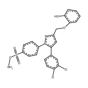 NOS(=O)(=O)c1ccc(-n2nc(COc3ccccc3O)cc2-c2ccc(Cl)c(Cl)c2)cc1